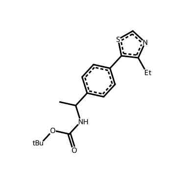 CCc1ncsc1-c1ccc(C(C)NC(=O)OC(C)(C)C)cc1